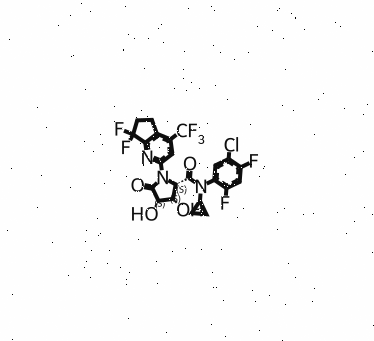 O=C([C@@H]1[C@H](O)[C@H](O)C(=O)N1c1cc(C(F)(F)F)c2c(n1)C(F)(F)CC2)N(c1cc(Cl)c(F)cc1F)C1CC1